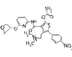 CN(C)Cc1c(-c2ccc([N+](=O)[O-])cc2)sc(OC(N)=O)c1C(=O)Nc1cccc(OC2COC2)n1